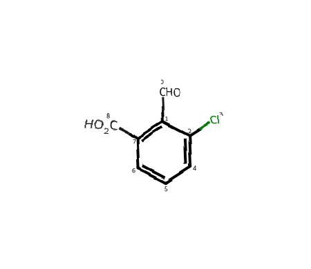 O=Cc1c(Cl)cccc1C(=O)O